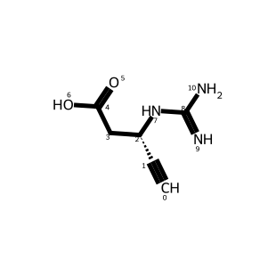 C#C[C@H](CC(=O)O)NC(=N)N